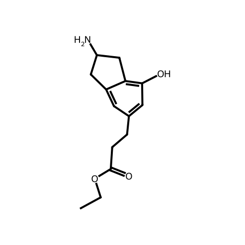 CCOC(=O)CCc1cc(O)c2c(c1)CC(N)C2